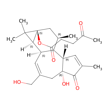 CC(=O)CCC(=O)O[C@@]12C[C@@H](C)C3[C@@H](C=C(CO)C[C@]4(O)C(=O)C(C)=C[C@@H]34)[C@H]1C2(C)C